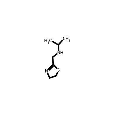 CC(C)NCC1=NCCS1